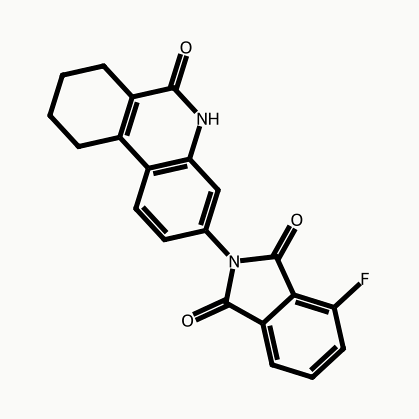 O=C1c2cccc(F)c2C(=O)N1c1ccc2c3c(c(=O)[nH]c2c1)CCCC3